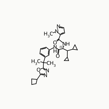 Cn1nccc1C(=O)N[C@H](C(=O)Nc1cccc(C(C)(C)c2nnc(C3CCC3)o2)c1)C(C1CC1)C1CC1